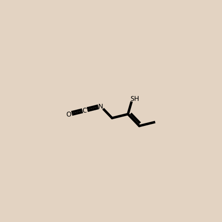 CC=C(S)CN=C=O